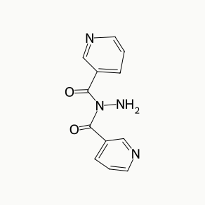 NN(C(=O)c1cccnc1)C(=O)c1cccnc1